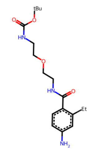 CCc1cc(N)ccc1C(=O)NCCOCCNC(=O)OC(C)(C)C